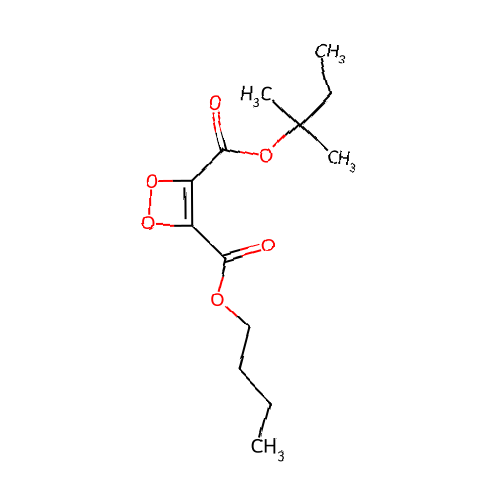 CCCCOC(=O)c1ooc1C(=O)OC(C)(C)CC